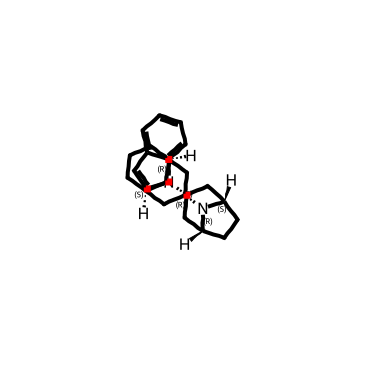 c1ccc2c(c1)ccn2[C@H]1C[C@H]2CC[C@@H](C1)N2[C@H]1C[C@@H]2CCC[C@@H](C2)C1